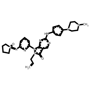 C=CCn1c(=O)c2cnc(Nc3ccc(N4CCN(C)CC4)cc3)nc2n1-c1cccc(N=S2(=O)CCCC2)n1